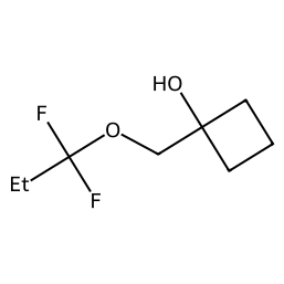 CCC(F)(F)OCC1(O)CCC1